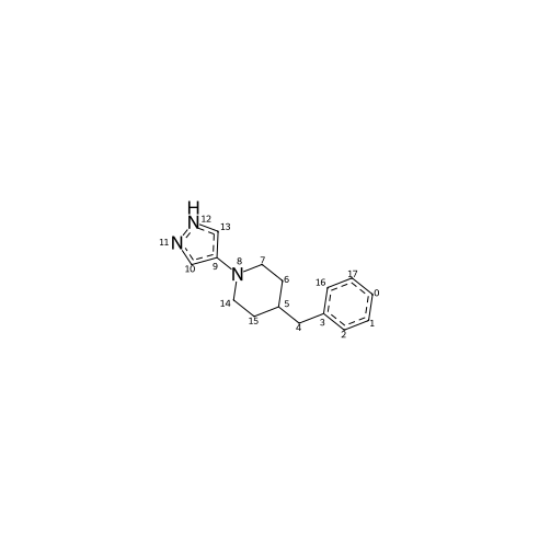 c1ccc(CC2CCN(c3cn[nH]c3)CC2)cc1